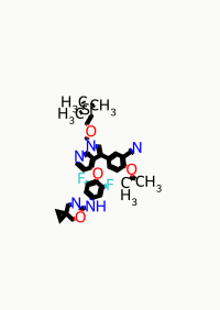 CC(C)Oc1ccc(-c2cn(COCC[Si](C)(C)C)c3nccc(Oc4c(F)cc(NC5=NCC6(CC6)CO5)cc4F)c23)cc1C#N